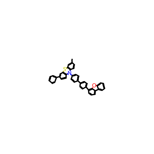 Cc1ccc2c(c1)Sc1cc(-c3ccccc3)ccc1N2c1ccc(-c2ccc(-c3cccc4c3oc3ccccc34)cc2)cc1